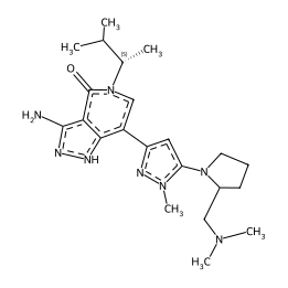 CC(C)[C@H](C)n1cc(-c2cc(N3CCCC3CN(C)C)n(C)n2)c2[nH]nc(N)c2c1=O